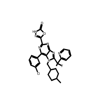 CC1CCC(Cn2c(C(C)(F)c3ccccn3)nc3nc(-c4n[nH]c(=O)o4)nc(-c4cccc(Cl)c4)c32)CC1